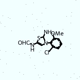 COc1cccc(Cl)c1N1C=C(NC=O)SC1N